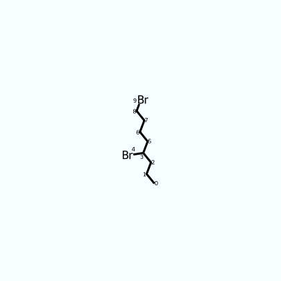 CCCC(Br)CCCCBr